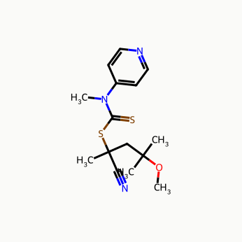 COC(C)(C)CC(C)(C#N)SC(=S)N(C)c1ccncc1